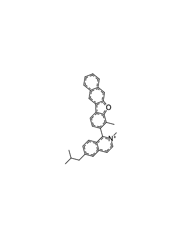 Cc1c(-c2c3ccc(CC(C)C)cc3cc[n+]2C)ccc2c1oc1cc3ccccc3cc12